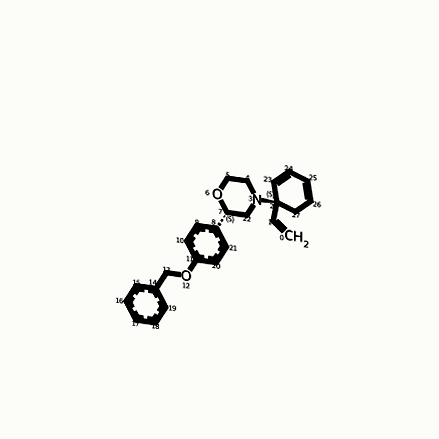 C=C[C@]1(N2CCO[C@@H](c3ccc(OCc4ccccc4)cc3)C2)C=CC=CC1